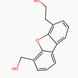 OCCc1cccc2c1oc1c(CO)cccc12